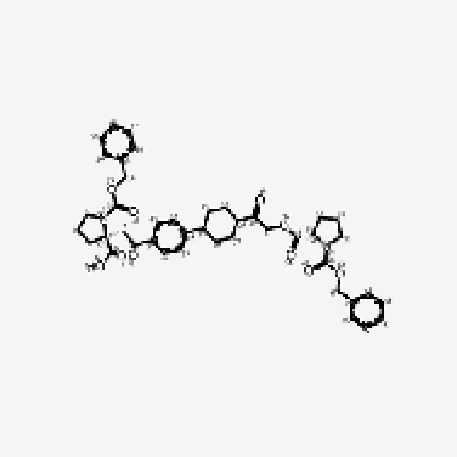 O=C(C[C@]1(C(=O)O)CCCN1C(=O)OCc1ccccc1)c1ccc(C2CCC(C(=O)COC(=O)[C@@H]3CCCN3C(=O)OCc3ccccc3)CC2)cc1